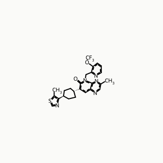 Cc1cnc2cc([C@H]3CC[C@H](c4ncsc4C)CC3)c(=O)n(Cc3ncccc3OC(F)(F)F)c2n1